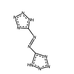 N(=Nc1nnn[nH]1)c1nnn[nH]1